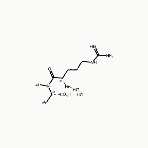 CCN(C(=O)[C@@H](N)CCCNC(=N)N)[C@H](C(=O)O)C(C)C.Cl.Cl